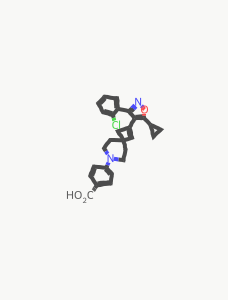 O=C(O)c1ccc(N2CCC3(C=C(c4c(-c5ccccc5Cl)noc4C4CC4)C3)CC2)cc1